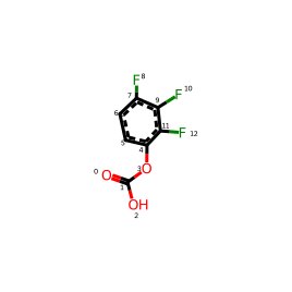 O=C(O)Oc1ccc(F)c(F)c1F